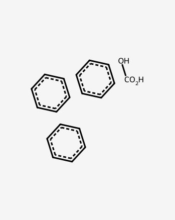 O=C(O)O.c1ccccc1.c1ccccc1.c1ccccc1